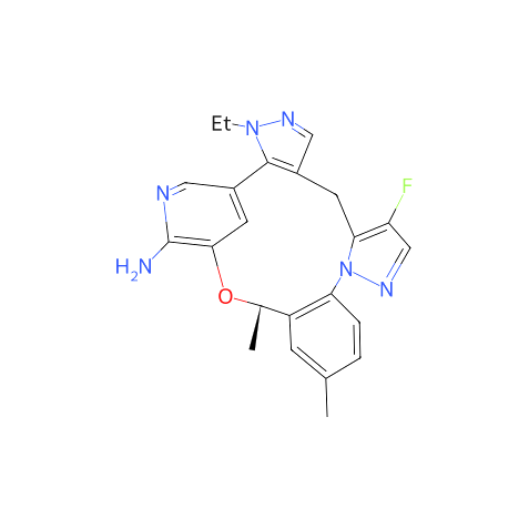 CCn1ncc2c1-c1cnc(N)c(c1)O[C@H](C)c1cc(C)ccc1-n1ncc(F)c1C2